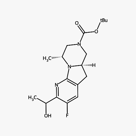 CC(O)c1nc2c(cc1F)C[C@@H]1CN(C(=O)OC(C)(C)C)C[C@@H](C)N21